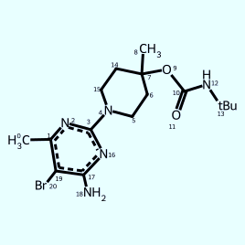 Cc1nc(N2CCC(C)(OC(=O)NC(C)(C)C)CC2)nc(N)c1Br